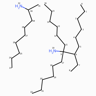 CCCCCCC(CC)C(N)(CCCCCC)CCCCCC.CCCCCCCC(C)N